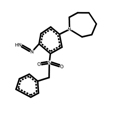 N=Nc1ccc(N2CCCCCC2)cc1S(=O)(=O)Cc1ccccc1